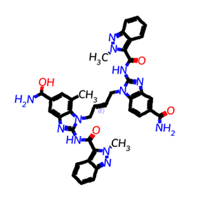 Cc1cc(C(N)O)cc2nc(NC(=O)c3c4ccccc4nn3C)n(C/C=C/Cn3c(NC(=O)c4c5ccccc5nn4C)nc4cc(C(N)=O)ccc43)c12